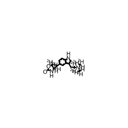 [2H]C([2H])([2H])N(C([2H])([2H])[2H])C([2H])([2H])Cc1c[nH]c2ccc(C([2H])([2H])[C@]3([2H])NC(=O)OC3([2H])[2H])cc12